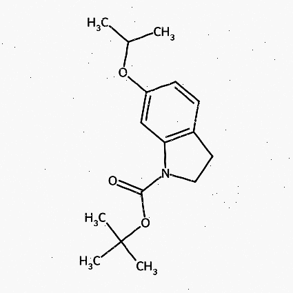 CC(C)Oc1ccc2c(c1)N(C(=O)OC(C)(C)C)CC2